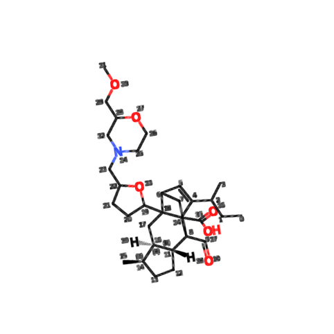 CCC(C)C1=CC2CC3(C=O)[C@@H]4CC[C@@H](C)[C@H]4CC2(C2CCC(CN4CCOC(COC)C4)O2)C13C(=O)O